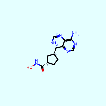 N/C=N\c1c(N)ncnc1C[C@H]1CC[C@H](C(=O)NO)C1